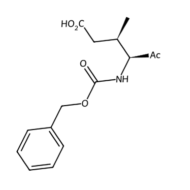 CC(=O)[C@@H](NC(=O)OCc1ccccc1)[C@H](C)CC(=O)O